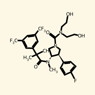 CN(C(=O)C(C)(C)c1cc(C(F)(F)F)cc(C(F)(F)F)c1)[C@@H]1CN(C(=O)N(CCO)CCO)C[C@H]1c1ccc(F)cc1